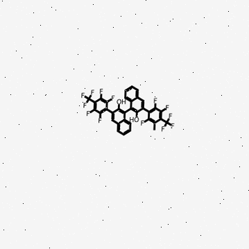 Cc1c(F)c(-c2cc3ccccc3c(-c3c(O)c(-c4c(F)c(F)c(C(F)(F)F)c(F)c4F)cc4ccccc34)c2O)c(F)c(F)c1C(F)(F)F